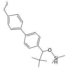 C[SiH](C)OC(c1ccc(-c2ccc(CI)cc2)cc1)C(C)(C)C